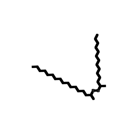 CCCCCCCCCCCCCCCC(C)OOC(C)CCCCCCCCCCCC